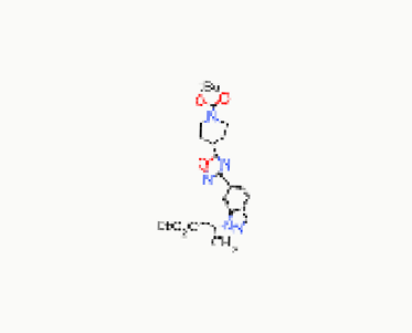 CCOC(=O)CC(C)n1ncc2ccc(-c3noc(C4CCN(C(=O)OC(C)(C)C)CC4)n3)cc21